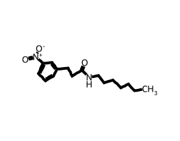 CCCCCCCNC(=O)CCc1cccc([N+](=O)[O-])c1